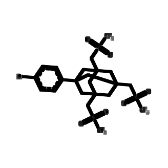 O=S(=O)(CC12CC3(CS(=O)(=O)C(F)(F)F)CC(CS(=O)(=O)C(F)(F)F)(C1)CC(c1ccc(Br)cc1)(C2)C3)C(F)(F)F